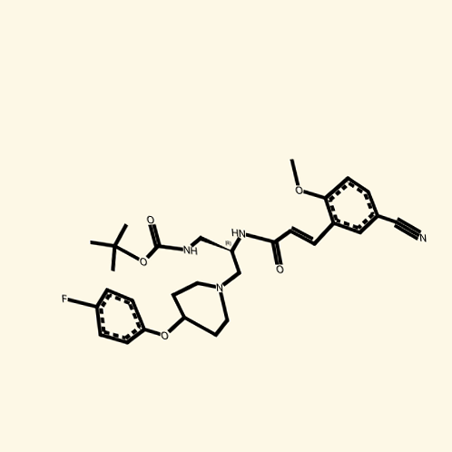 COc1ccc(C#N)cc1C=CC(=O)N[C@H](CNC(=O)OC(C)(C)C)CN1CCC(Oc2ccc(F)cc2)CC1